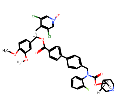 COc1ccc([C@H](Cc2c(Cl)c[n+]([O-])cc2Cl)OC(=O)c2ccc(-c3ccc(CN(C(=O)O[C@H]4CN5CCC4CC5)c4ccccc4F)cc3)cc2)cc1OC